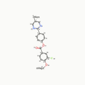 CCCCCCCCCc1cnc(-c2ccc(OC(=O)c3ccc(OCCCCCCC)c(F)c3)cc2)nc1